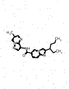 CCCC(CC)c1cn2cc(C(=O)Nc3cnn4cc(C)cnc34)ccc2n1